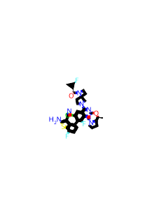 C[C@H](Oc1nc(N2CCC3(CCN3C(=O)[C@@H]3C[C@H]3F)C2)c2cc(Cl)c(-c3ccc(F)c4sc(N)c(C#N)c34)c(F)c2n1)C1CCCN1C